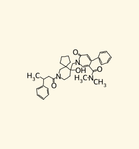 CC(CC(=O)N1CCC(O)(Cn2cc(C(=O)N(C)C)c(-c3ccccc3)cc2=O)C2(CCCC2)C1)c1ccccc1